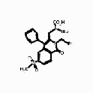 CC(C)Cn1c(CN(C(=O)O)C(C)(C)C)c(-c2ccccc2)c2cc(S(C)(=O)=O)ccc2c1=O